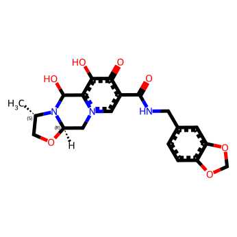 C[C@H]1CO[C@@H]2Cn3cc(C(=O)NCc4ccc5c(c4)OCO5)c(=O)c(O)c3C(O)N12